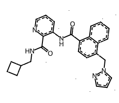 O=C(NCC1CCC1)c1ncccc1NC(=O)c1ccc(Cn2cccn2)c2ccccc12